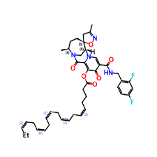 CC/C=C\C/C=C\C/C=C\C/C=C\C/C=C\CCCC(=O)Oc1c2n(cc(C(=O)NCc3ccc(F)cc3F)c1=O)[C@@H]1CN(C2=O)[C@@H](C)CC[C@]12CC(C)=NO2